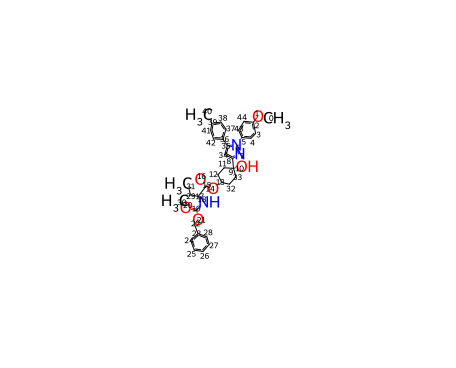 COc1ccc(-n2nc(C3(O)CCC(OC(=O)C(NC(=O)OCc4ccccc4)C(C)C)CC3)cc2-c2ccc(C)cc2)cc1